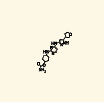 NC(=O)OC1CCC(Nc2nccc(Nc3cc(C4CCOC4)[nH]n3)n2)CC1